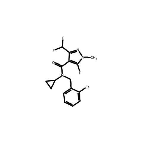 CCc1ccccc1CN(C(=O)c1c(C(F)F)nn(C)c1F)C1CC1